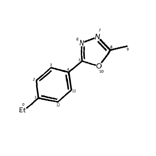 CCc1ccc(-c2nnc(C)o2)cc1